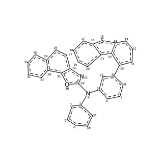 c1ccc(N(c2cccc(-c3cccc4sc5ccccc5c34)c2)c2nc3ccc4ccccc4c3o2)cc1